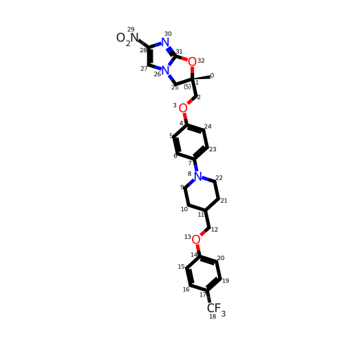 C[C@@]1(COc2ccc(N3CCC(COc4ccc(C(F)(F)F)cc4)CC3)cc2)Cn2cc([N+](=O)[O-])nc2O1